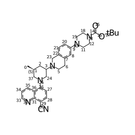 C[C@H]1CC(N2CCc3cc(N4CCN(C(=O)OC(C)(C)C)CC4)ccc3C2)CN(c2ccc(C#N)c3ncccc23)C1